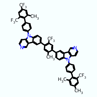 Cc1cc(C)c(-c2ccc(-n3c4ccncc4c4cc(-c5cc(C(F)(F)F)c(-c6ccc7c(c6)c6cnccc6n7-c6ccc(-c7c(C)cc(C(F)(F)F)cc7C(F)(F)F)cc6)cc5C)ccc43)cc2)c(C(F)(F)F)c1